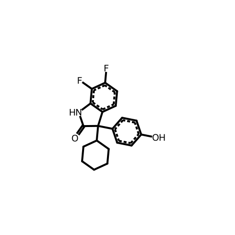 O=C1Nc2c(ccc(F)c2F)C1(c1ccc(O)cc1)C1CCCCC1